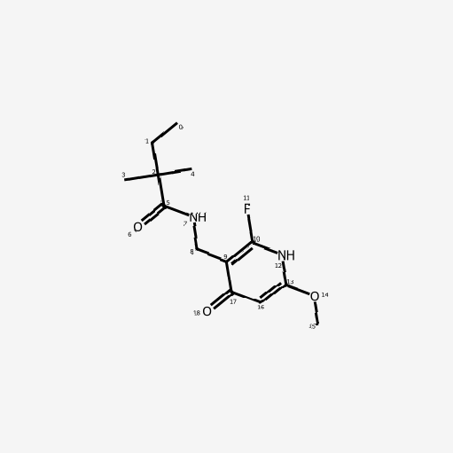 CCC(C)(C)C(=O)NCc1c(F)[nH]c(OC)cc1=O